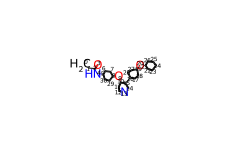 C=CC(=O)Nc1ccc(Oc2ccncc2-c2ccc(Oc3ccccc3)cc2)cc1